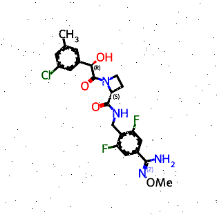 CO/N=C(\N)c1cc(F)c(CNC(=O)[C@@H]2CCN2C(=O)[C@H](O)c2cc(C)cc(Cl)c2)c(F)c1